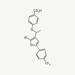 CCc1oc(-c2ccc(C(F)(F)F)cc2)cc1C(C)Oc1ccc(C(=O)O)cc1